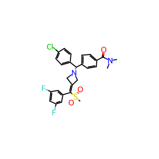 CN(C)C(=O)c1ccc([C@@H](c2ccc(Cl)cc2)N2CC(=C(c3cc(F)cc(F)c3)S(C)(=O)=O)C2)cc1